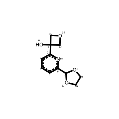 OC1(c2cccc(C3OCCO3)n2)COC1